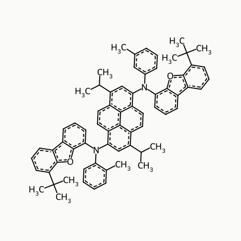 Cc1cccc(N(c2cc(C(C)C)c3ccc4c(N(c5ccccc5C)c5cccc6c5oc5c(C(C)(C)C)cccc56)cc(C(C)C)c5ccc2c3c54)c2cccc3c2oc2c(C(C)(C)C)cccc23)c1